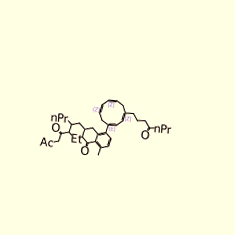 CCCC(=O)CCC/C1=C/C=C(/c2ccc(C)c3c2CC(CC(CCC)C(CC)C(=O)CC(C)=O)CC3=O)C/C=C\C=C/C1